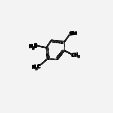 Bc1cc(C(C)(C)C)c(C)cc1C